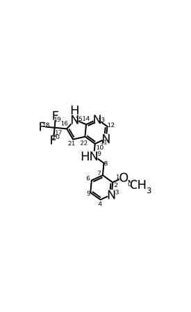 COc1ncccc1CNc1ncnc2[nH]c(C(F)(F)F)cc12